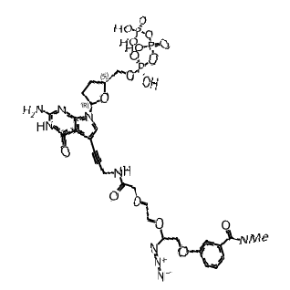 CNC(=O)c1cccc(OCC(N=[N+]=[N-])OCCOCC(=O)NCC#Cc2cn([C@H]3CC[C@@H](COP(=O)(O)OP(=O)(O)OP(=O)(O)O)O3)c3nc(N)[nH]c(=O)c23)c1